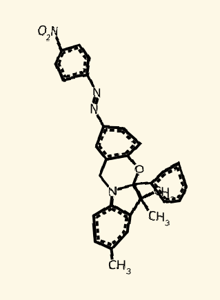 Cc1ccc2c(c1)C(C)(C)C1(c3ccccc3)Oc3ccc(/N=N/c4ccc([N+](=O)[O-])cc4)cc3CN21